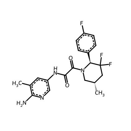 Cc1cc(NC(=O)C(=O)N2C[C@@H](C)CC(F)(F)[C@@H]2c2ccc(F)cc2)cnc1N